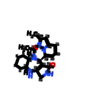 CC(=O)N1[C@@H]2CCCC[C@H]2NC2=C(C(=O)NC2)[C@H]1c1cccc2cc(C)nn12